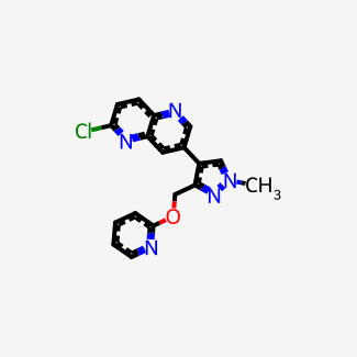 Cn1cc(-c2cnc3ccc(Cl)nc3c2)c(COc2ccccn2)n1